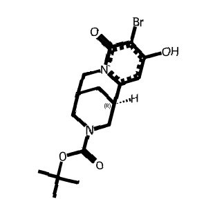 CC(C)(C)OC(=O)N1CC2C[C@H](C1)c1cc(O)c(Br)c(=O)n1C2